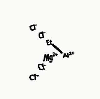 C[CH2][Al+2].[Cl-].[Cl-].[Cl-].[Cl-].[Mg+2]